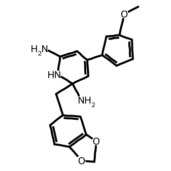 COc1cccc(C2=CC(N)(Cc3ccc4c(c3)OCO4)NC(N)=C2)c1